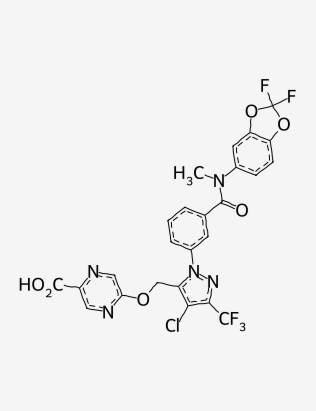 CN(C(=O)c1cccc(-n2nc(C(F)(F)F)c(Cl)c2COc2cnc(C(=O)O)cn2)c1)c1ccc2c(c1)OC(F)(F)O2